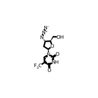 [N-]=[N+]=N[C@H]1C[C@H](n2cc(C(F)(F)F)c(=O)[nH]c2=O)O[C@@H]1CO